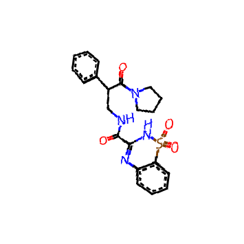 O=C(NCC(C(=O)N1CCCC1)c1ccccc1)C1=Nc2ccccc2S(=O)(=O)N1